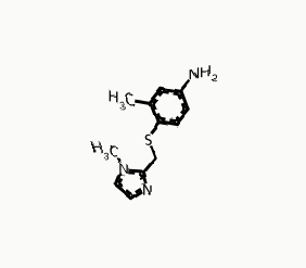 Cc1cc(N)ccc1SCc1nccn1C